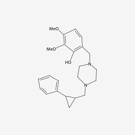 COc1ccc(CN2CCN(CC3CC3c3ccccc3)CC2)c(O)c1OC